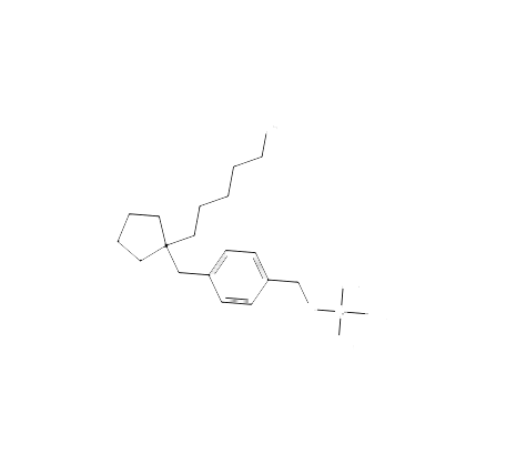 C[Si](C)(C)OCc1ccc(CC2(CCCCCC#N)CCCC2)cc1